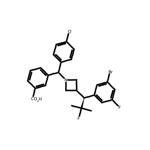 CC(C)(F)[C@H](c1cc(F)cc(Br)c1)C1CN(C(c2ccc(Cl)cc2)c2cccc(C(=O)O)c2)C1